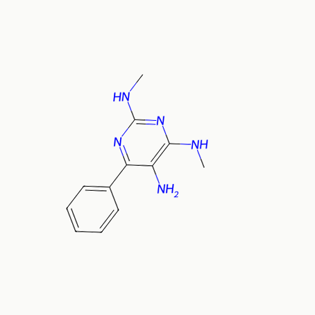 CNc1nc(NC)c(N)c(-c2ccccc2)n1